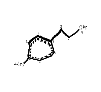 CC(=O)OCCc1ccc(OC(C)=O)cc1